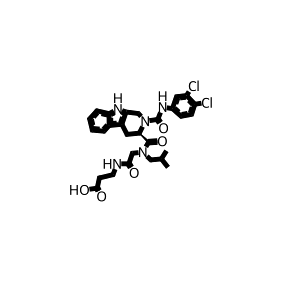 CC(C)CN(CC(=O)NCCC(=O)O)C(=O)[C@H]1Cc2c([nH]c3ccccc23)CN1C(=O)Nc1ccc(Cl)c(Cl)c1